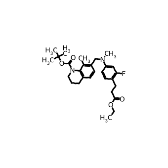 CCOC(=O)CCc1ccc(N(C)Cc2ccc3c(c2C)N(C(=O)OC(C)(C)C)CCC3)cc1F